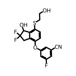 N#Cc1cc(F)cc(Oc2ccc(SCCO)c3c2CC(F)(F)C3O)c1